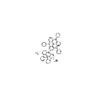 Cc1ccc2c(c1)S(c1ccccc1)(c1ccccc1)c1cc(C)ccc1N2c1cc2c3c(c1)N(c1ccccc1)c1cccc4c1B3c1c(cccc1N2c1ccccc1)N4c1ccccc1